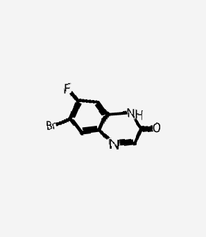 O=c1cnc2cc(Br)c(F)cc2[nH]1